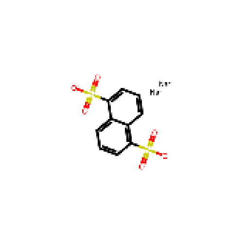 O=S(=O)([O-])c1cccc2c(S(=O)(=O)[O-])cccc12.[Na+].[Na+]